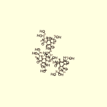 CN(CC(O)CO)C(=O)c1c(I)c(NC(=O)CO)c(I)c(C(=O)NCC(O)CN(CC(O)CNC(=O)c2c(I)c(NC(=O)CO)c(I)c(C(=O)N(C)CC(O)CO)c2I)C(=O)c2c(I)c(NC(=O)CO)c(I)c(C(=O)N(C)CC(O)CO)c2I)c1I